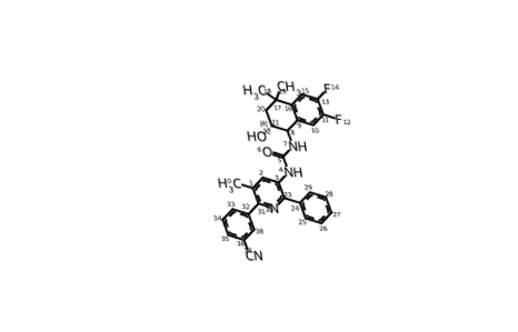 Cc1cc(NC(=O)NC2c3cc(F)c(F)cc3C(C)(C)C[C@H]2O)c(-c2ccccc2)nc1-c1cccc(C#N)c1